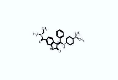 CCN(C)C(=O)c1ccc2c(c1)NC(=O)/C2=C(\N[C@H]1CC[C@H](N(C)C)CC1)c1ccccc1